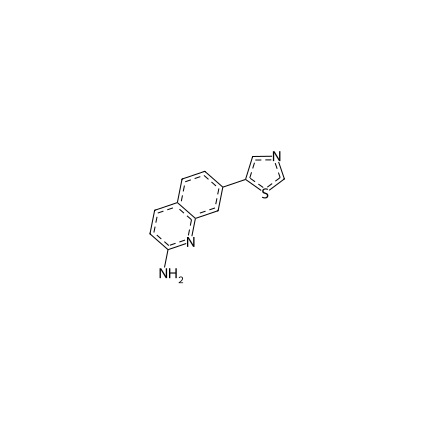 Nc1ccc2ccc(-c3cncs3)cc2n1